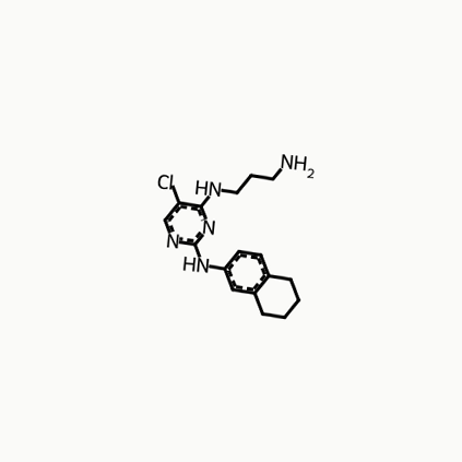 NCCCNc1nc(Nc2ccc3c(c2)CCCC3)ncc1Cl